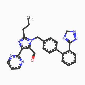 CCCc1nc(-c2ncccn2)c(C=O)n1Cc1ccc(-c2ccccc2C2=NCN=N2)cc1